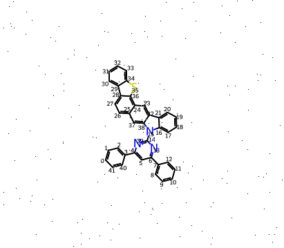 c1ccc(-c2cc(-c3ccccc3)nc(-n3c4ccccc4c4cc5c(ccc6c7ccccc7sc56)cc43)n2)cc1